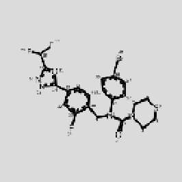 O=C(N1CCSCC1)N(Cc1ccc(-c2nnc(C(F)F)o2)cc1F)c1ccc(Br)cc1